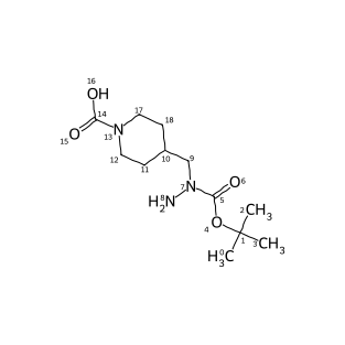 CC(C)(C)OC(=O)N(N)CC1CCN(C(=O)O)CC1